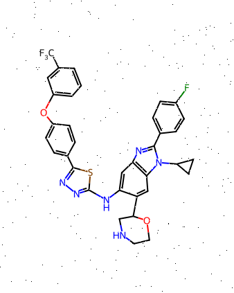 Fc1ccc(-c2nc3cc(Nc4nnc(-c5ccc(Oc6cccc(C(F)(F)F)c6)cc5)s4)c(C4CNCCO4)cc3n2C2CC2)cc1